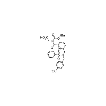 CC(C)(C)OC(=O)N(CC(=O)O)C(=O)c1cccc(CN(Cc2ccc(C(C)(C)C)cc2)S(=O)(=O)c2ccccc2)n1